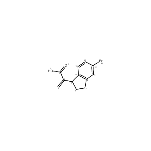 C=C(C(=O)O)C1CCc2cc(Br)ccc21